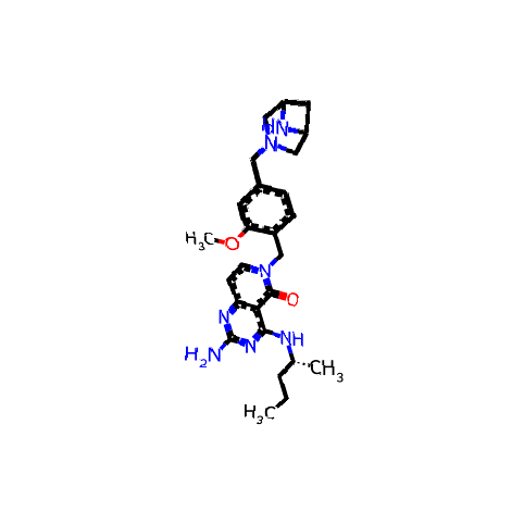 CCC[C@@H](C)Nc1nc(N)nc2ccn(Cc3ccc(CN4CC5CC(C4)N5)cc3OC)c(=O)c12